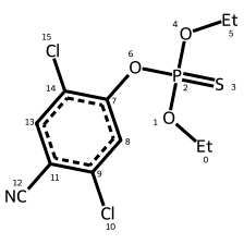 CCOP(=S)(OCC)Oc1cc(Cl)c(C#N)cc1Cl